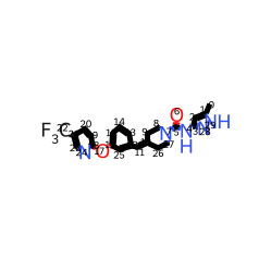 Cc1cc(NC(=O)N2CCC(=Cc3cccc(Oc4ccc(C(F)(F)F)cn4)c3)CC2)n[nH]1